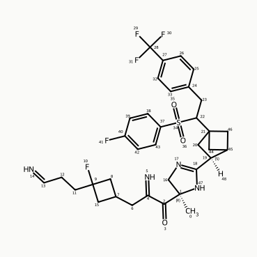 C[C@]1(C(=O)C(=N)CC2CC(F)(CCC=N)C2)CN=C([C@H]2CC3(C(Cc4ccc(C(F)(F)F)cc4)S(=O)(=O)c4ccc(F)cc4)CC2C3)N1